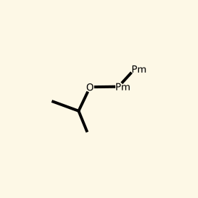 CC(C)[O][Pm][Pm]